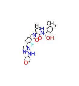 Cc1cccc(C(CO)NC(=O)C(C)N2Cc3ccc(-c4ccnc(NC5CCOCC5)n4)c(F)c3C2=O)c1